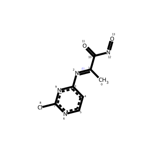 C/C(=N\c1ccnc(Cl)n1)C(=O)N=O